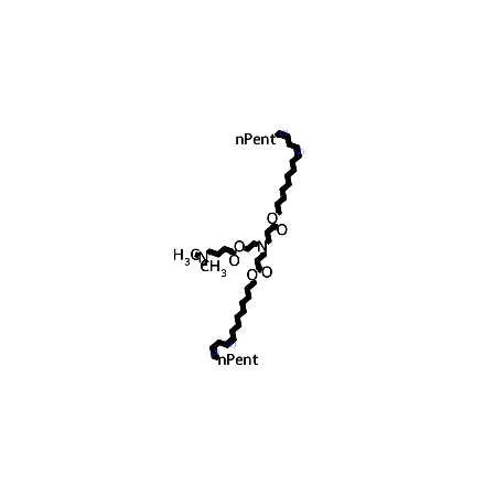 CCCCC/C=C\C/C=C\CCCCCCCCOC(=O)CCN(CCOC(=O)CCCN(C)C)CCC(=O)OCCCCCCCC/C=C\C/C=C\CCCCC